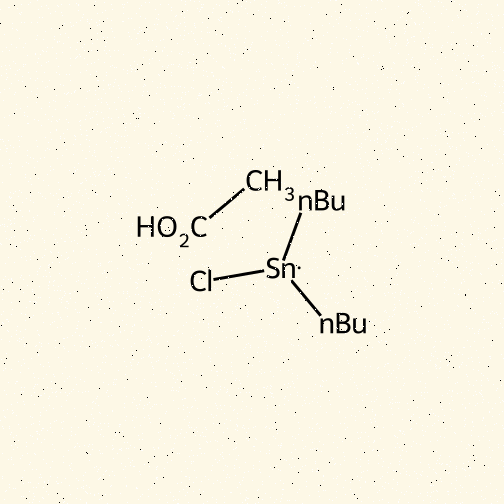 CC(=O)O.CCC[CH2][Sn]([Cl])[CH2]CCC